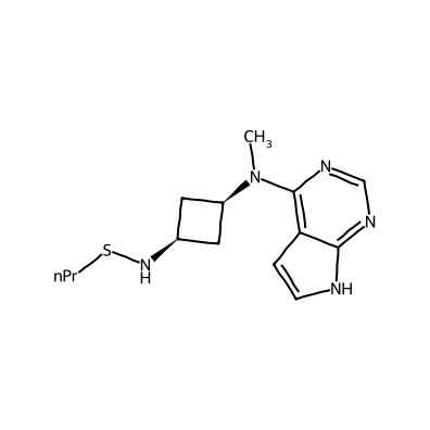 CCCSN[C@H]1C[C@@H](N(C)c2ncnc3[nH]ccc23)C1